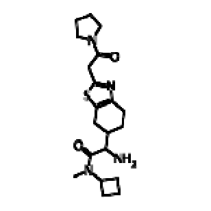 CN(C(=O)C(N)C1CCc2nc(CC(=O)N3CCCC3)sc2C1)C1CCC1